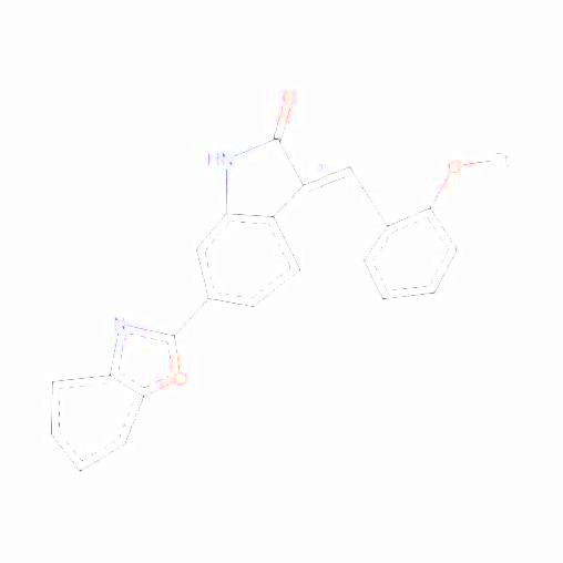 CCOc1ccccc1/C=C1/C(=O)Nc2cc(-c3nc4ccccc4o3)ccc21